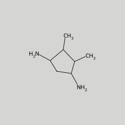 CC1C(N)CC(N)C1C